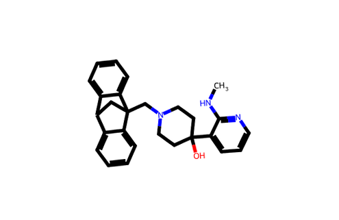 CNc1ncccc1C1(O)CCN(CC23CC(c4ccccc42)c2ccccc23)CC1